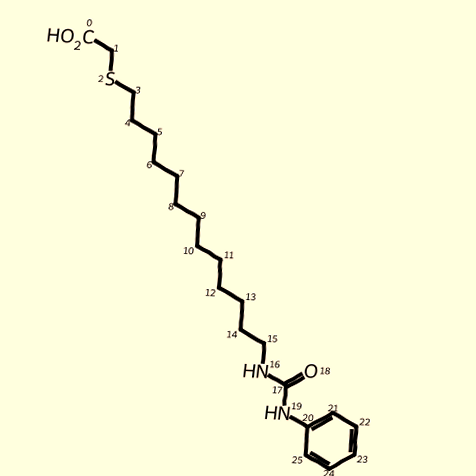 O=C(O)CSCCCCCCCCCCCCCNC(=O)Nc1ccccc1